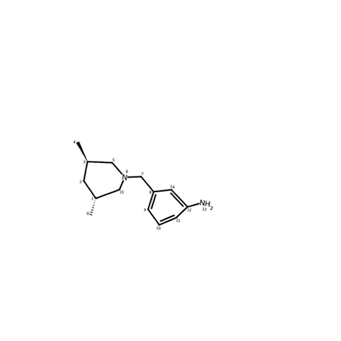 C[C@@H]1C[C@@H](C)CN(Cc2cccc(N)c2)C1